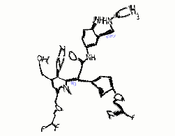 CN/C=C1/C=C(NC(=O)/C(=C2/N=C(OCC(F)F)C=C(CO)C2=N)c2ccc(OC(F)F)cc2)C=CC1=N